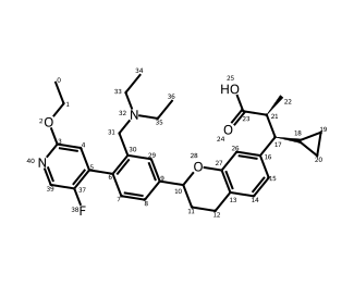 CCOc1cc(-c2ccc(C3CCc4ccc([C@H](C5CC5)[C@H](C)C(=O)O)cc4O3)cc2CN(CC)CC)c(F)cn1